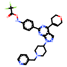 O=C(ONc1ccc(-c2nc(C3=CCOCC3)c3cnn(C4CCN(Cc5cccnc5)CC4)c3n2)cc1)C(F)(F)F